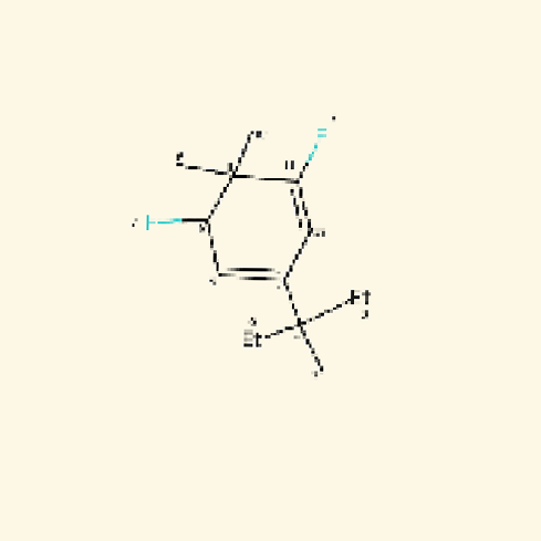 CCC(C)(CC)C1=CC(F)C(C)(C)C(F)=C1